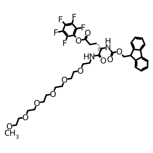 COCCOCCOCCOCCOCCOCCNC(=O)[C@H](CCC(=O)Oc1c(F)c(F)c(F)c(F)c1F)NC(=O)OCC1c2ccccc2-c2ccccc21